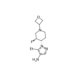 CCc1c(N)cnn1[C@H]1CCN(C2COC2)C[C@@H]1F